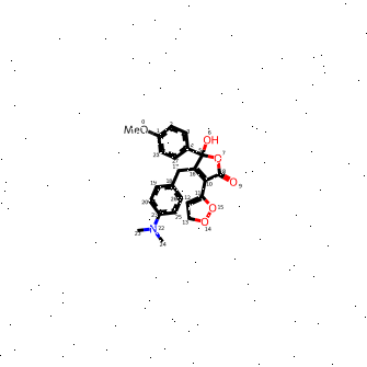 COc1ccc(C2(O)OC(=O)C(C3=CCOO3)=C2Cc2ccc(N(C)C)cc2)cc1